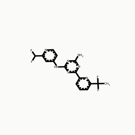 CC(F)(F)c1cccc(-c2nc(N)nc(Nc3ccnc(C(F)F)c3)n2)n1